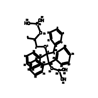 CC(COC(Cc1ccccc1)(c1ccccc1)C(OP(O)O)(c1ccccc1)c1ccccc1)OP(O)O